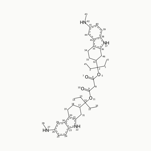 CCC(CC)(OC(=O)CC(=O)OC(CC)(CC)C1CCc2c([nH]c3ccc(NC)cc23)C1)C1CCc2c([nH]c3ccc(NC)cc23)C1